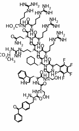 CC(=O)O.N=C(N)NCCC[C@@H](NC(=O)[C@@H](CCCNC(=N)N)NC(=O)[C@@H](CCC(N)=O)NC(=O)[C@@H](CCCNC(=N)N)NC(=O)[C@@H](CCCNC(=N)N)NC(=O)[C@@H](CCCNC(=N)N)NC(=O)[C@@H](CC1CCCCC1)NC(=O)[C@@H](Cc1c(F)c(F)c(F)c(F)c1F)NC(=O)[C@@H](CO)NC(=O)[C@@H](Cc1c[nH]c2ccccc12)NC(=O)[C@@H](CO)NC(=O)[C@H](N)Cc1ccc(C(=O)c2ccccc2)cc1)C(=O)O